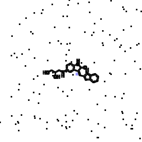 O=C1Nc2ccc(NCC(O)CO)cc2/C1=C/c1cc2ccccc2[nH]1